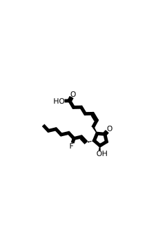 CCCCCC(F)/C=C/[C@H]1[C@H](O)CC(=O)[C@@H]1C/C=C\CCCC(=O)O